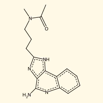 CC(=O)N(C)CCCc1nc2c(N)nc3ccccc3c2[nH]1